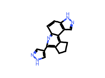 c1n[nH]cc1-c1nc2ccc3[nH]ncc3c2c2c1CCC2